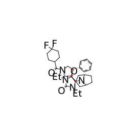 CCN1C(=O)N(CC)C2(CC3CCC(C2)N3C[C@H]2CN(C(=O)C3CCC(F)(F)CC3)C[C@@H]2c2ccccc2)C1=O